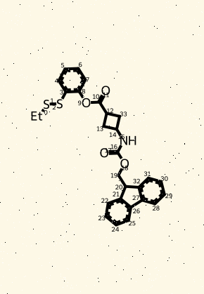 CCSSc1ccccc1OC(=O)C1CC(NC(=O)OCC2c3ccccc3-c3ccccc32)C1